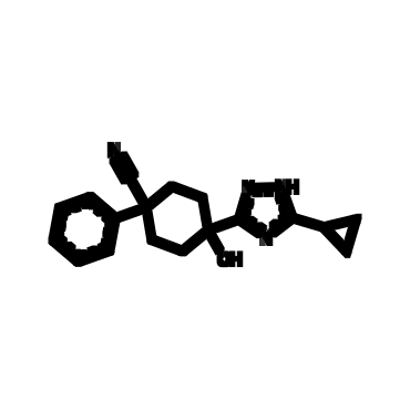 N#CC1(c2ccccc2)CCC(O)(c2n[nH]c(C3CC3)n2)CC1